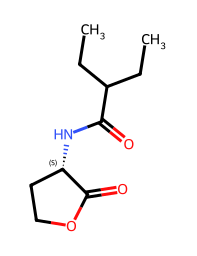 CCC(CC)C(=O)N[C@H]1CCOC1=O